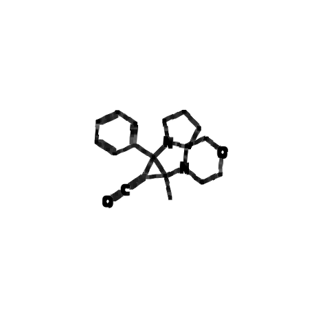 CC1(N2CCOCC2)C(=C=O)C1(c1ccccc1)N1CCCC1